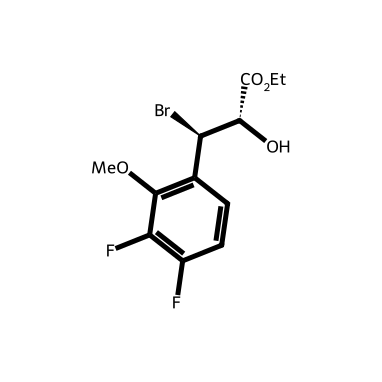 CCOC(=O)[C@H](O)[C@H](Br)c1ccc(F)c(F)c1OC